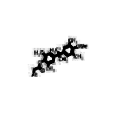 COc1c(C)cc(C(C)(C)c2cc(C)c(OC(=O)CC(C)=O)c(C)c2)cc1C